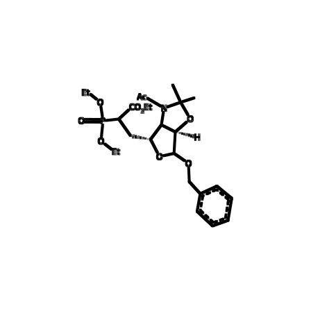 CCOC(=O)C(C[C@H]1OC(OCc2ccccc2)[C@@H]2OC(C)(C)N(C(C)=O)C21)P(=O)(OCC)OCC